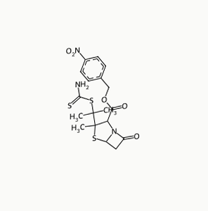 CC(C)(SC(N)=S)C1(C)SC2CC(=O)N2C1C(=O)OCc1ccc([N+](=O)[O-])cc1